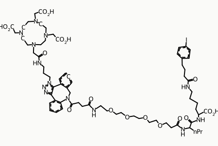 CCCC(NC(=O)CCOCCOCCOCCOCCNC(=O)CCC(=O)N1Cc2ccccc2-c2c(nnn2CCCNC(=O)CN2CCN(CC(=O)O)CCN(CC(=O)O)CCN(CC(=O)O)CC2)-c2ccccc21)C(=O)NC(CCCCNC(=O)CCCc1ccc(I)cc1)C(=O)O